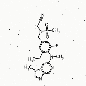 CCc1cc(CN(CC#N)S(C)(=O)=O)cc(F)c1N(C)c1cc2c(cn1)ncn2C